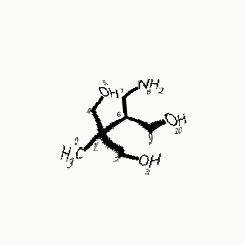 CC(CO)(CO)C(CN)CO